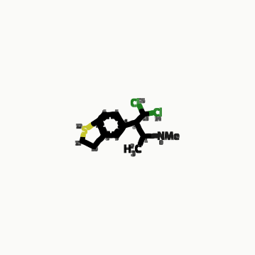 CNC(C)C(c1ccc2c(c1)CCS2)C(Cl)Cl